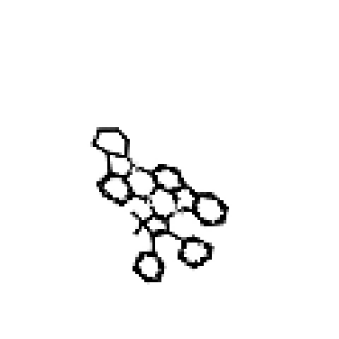 CC1(C)C2=C(C(c3ccccc3)=C1c1ccccc1)n1c3ccccc3c3ccc4c(c31)B2c1cccc2c1N4C1CCCCC21